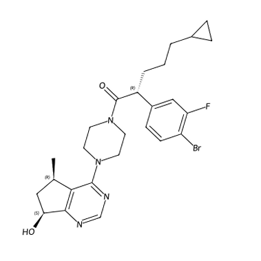 C[C@@H]1C[C@H](O)c2ncnc(N3CCN(C(=O)[C@H](CCCC4CC4)c4ccc(Br)c(F)c4)CC3)c21